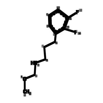 COCNCCCc1cccc(F)c1F